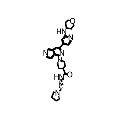 O=C(NCCCN1CCCC1)C1CCN(c2nc(-c3ccnc(NC4CCOCC4)c3)cc3cnccc23)CC1